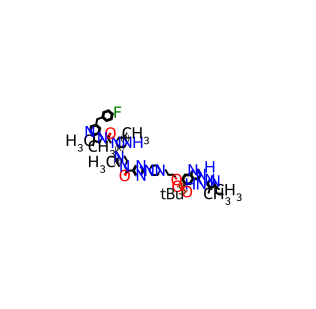 Cc1n[nH]c(Nc2ncnc3cc(OCCCN4CCN(c5ncc(C(=O)N6CCN(C[C@H]7CN[C@H](C)CN7CC(=O)N7CC(C)(C)c8ncc(Cc9ccc(F)cc9)cc87)[C@H](C)C6)cn5)CC4)c(S(=O)(=O)C(C)(C)C)cc23)c1C